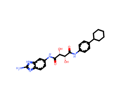 Nc1nc2ccc(NC(=O)[C@H](O)[C@@H](O)C(=O)Nc3ccc(C4CCCCC4)cc3)cc2[nH]1